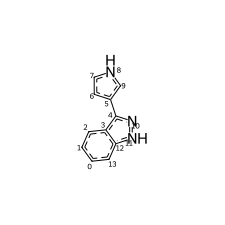 c1ccc2c(-c3cc[nH]c3)n[nH]c2c1